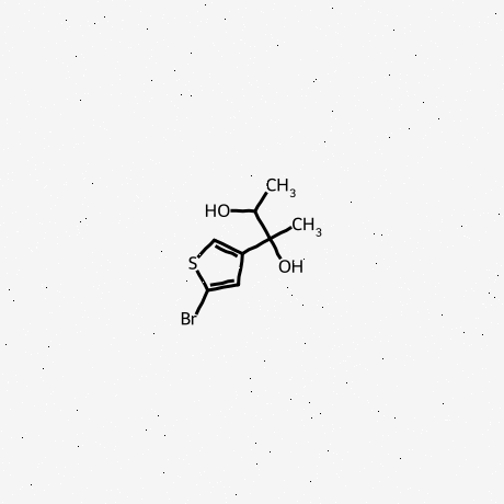 CC(O)C(C)(O)c1csc(Br)c1